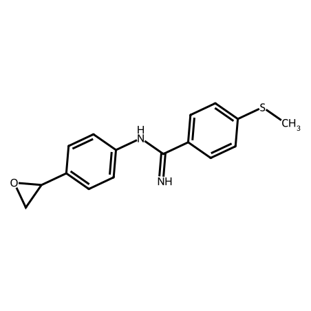 CSc1ccc(C(=N)Nc2ccc(C3CO3)cc2)cc1